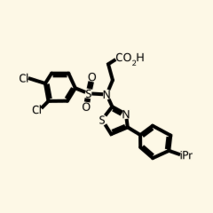 CC(C)c1ccc(-c2csc(N(CCC(=O)O)S(=O)(=O)c3ccc(Cl)c(Cl)c3)n2)cc1